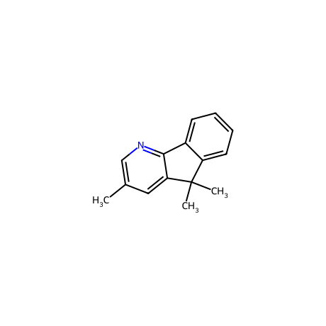 Cc1cnc2c(c1)C(C)(C)c1ccccc1-2